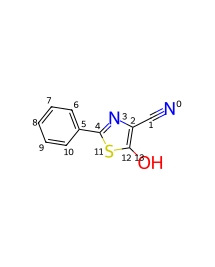 N#Cc1nc(-c2ccccc2)sc1O